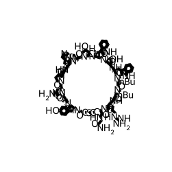 CCCC[C@H]1C(=O)N(C)[C@@H](CCCC)C(=O)N[C@@H](CCCNC(=N)N)C(=O)NC(C(=O)NCC(N)=O)CCSCC(=O)N[C@@H](Cc2ccc(O)cc2)C(=O)N(C)[C@@H](C)C(=O)N[C@@H](CC(N)=O)C(=O)N2CCC[C@H]2C(=O)N[C@@H](Cc2cnc[nH]2)C(=O)N[C@@H](CC(C)C)C(=O)N2C[C@H](O)CC2(C=O)N[C@@H](Cc2c[nH]c3ccccc23)C(=O)N[C@@H](CO)C(=O)N[C@@H](Cc2c[nH]c3ccccc23)C(=O)N1C